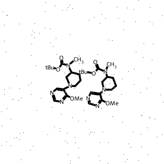 COc1ncncc1N1CCCC(N(C)C(=O)OC(C)(C)C)C1.COc1ncncc1N1CCCC(N(C)C(=O)OC(C)(C)C)C1